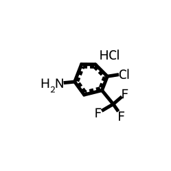 Cl.Nc1ccc(Cl)c(C(F)(F)F)c1